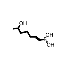 CC(O)CCCC=CB(O)O